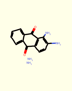 N.N.Nc1ccc2c(c1N)C(=O)c1ccccc1C2=O